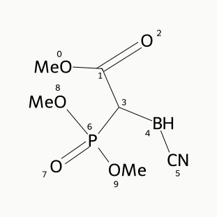 COC(=O)C(BC#N)P(=O)(OC)OC